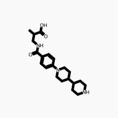 CC(CNC(=O)c1ccc(N2CCC(C3CCNCC3)CC2)cc1)C(=O)O